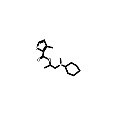 Cc1ccsc1C(=O)OC(C)CN(C)C1CCCCC1